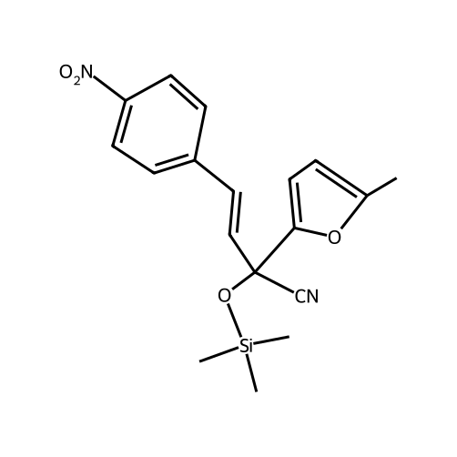 Cc1ccc(C(C#N)(/C=C/c2ccc([N+](=O)[O-])cc2)O[Si](C)(C)C)o1